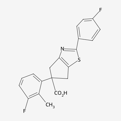 Cc1c(F)cccc1C1(C(=O)O)Cc2nc(-c3ccc(F)cc3)sc2C1